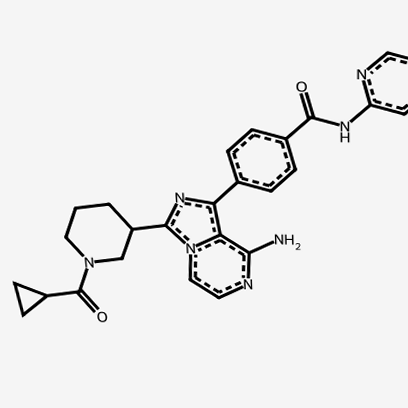 Nc1nccn2c(C3CCCN(C(=O)C4CC4)C3)nc(-c3ccc(C(=O)Nc4ccccn4)cc3)c12